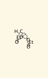 CCC1(COC2CC3CC(C)CC(OCC4(CC)COC4)(C3)C2)COC1